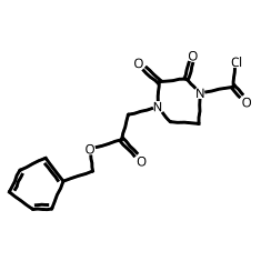 O=C(CN1CCN(C(=O)Cl)C(=O)C1=O)OCc1ccccc1